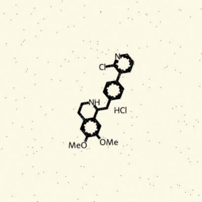 COc1cc2c(cc1OC)C(Cc1ccc(-c3cccnc3Cl)cc1)NCC2.Cl